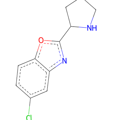 Clc1ccc2oc(C3CCCN3)nc2c1